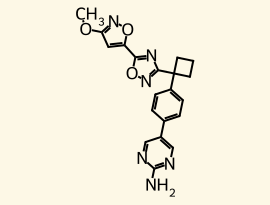 COc1cc(-c2nc(C3(c4ccc(-c5cnc(N)nc5)cc4)CCC3)no2)on1